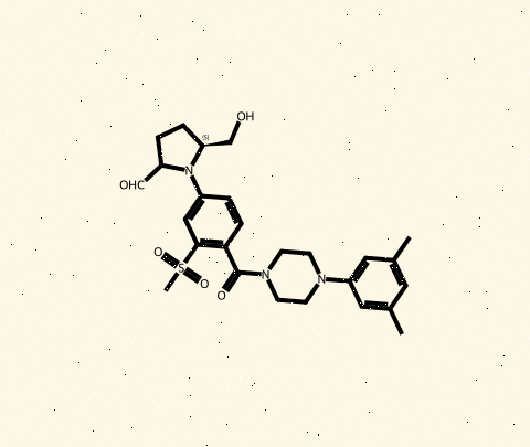 Cc1cc(C)cc(N2CCN(C(=O)c3ccc(N4C(C=O)CC[C@H]4CO)cc3S(C)(=O)=O)CC2)c1